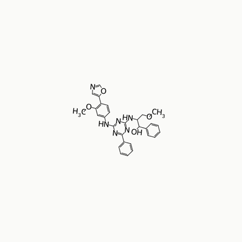 COCC(Nc1nc(Nc2ccc(-c3cnco3)c(OC)c2)nc(-c2ccccc2)n1)C(O)c1ccccc1